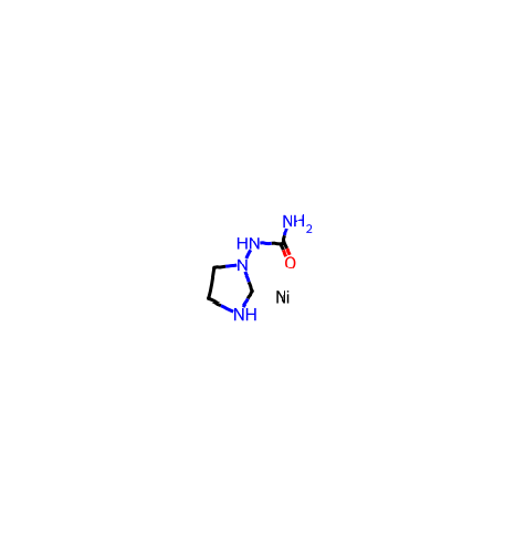 NC(=O)NN1CCNC1.[Ni]